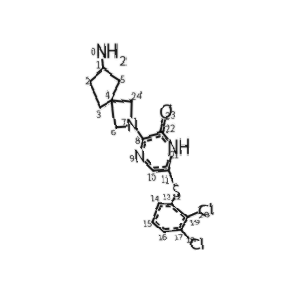 NC1CCC2(C1)CN(c1ncc(Sc3cccc(Cl)c3Cl)[nH]c1=O)C2